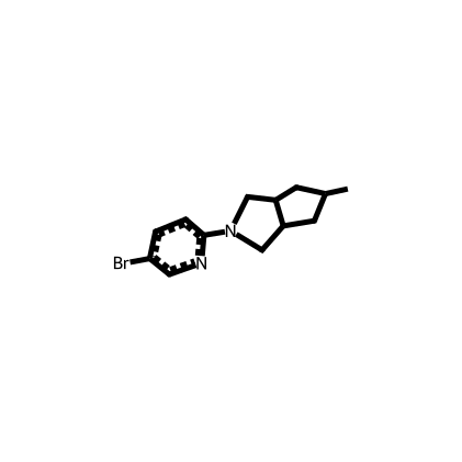 CC1CC2CN(c3ccc(Br)cn3)CC2C1